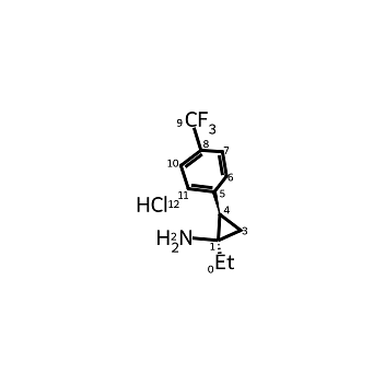 CC[C@@]1(N)C[C@@H]1c1ccc(C(F)(F)F)cc1.Cl